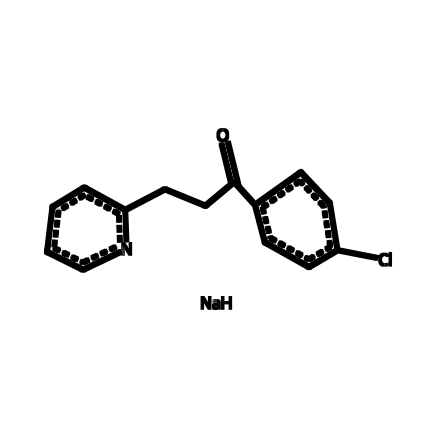 O=C(CCc1ccccn1)c1ccc(Cl)cc1.[NaH]